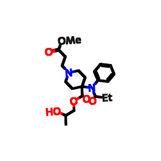 CCC(=O)N(c1ccccc1)C1(C(=O)OCC(C)O)CCN(CCC(=O)OC)CC1